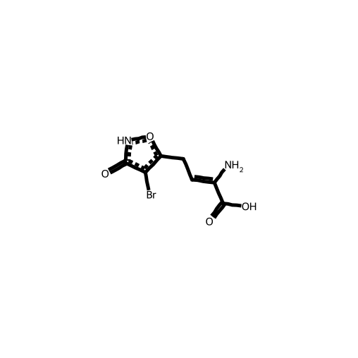 NC(=CCc1o[nH]c(=O)c1Br)C(=O)O